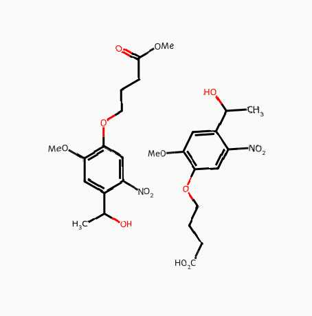 COC(=O)CCCOc1cc([N+](=O)[O-])c(C(C)O)cc1OC.COc1cc(C(C)O)c([N+](=O)[O-])cc1OCCCC(=O)O